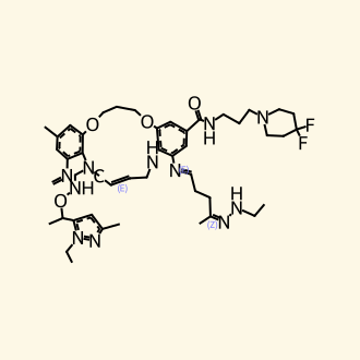 C=Nc1cc(C)cc2c1N(CNOC(C)c1cc(C)nn1CC)C/C=C/CNc1c(/N=C/CC/C(C)=N\NCC)cc(C(=O)NCCCN3CCC(F)(F)CC3)cc1OCCCO2